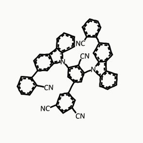 N#Cc1cc(C#N)cc(-c2cc(-n3c4ccccc4c4ccc(-c5ccccc5C#N)cc43)c(C#N)c(-n3c4ccccc4c4ccc(-c5ccccc5C#N)cc43)c2)c1